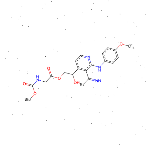 CCC(=N)c1c(C(O)COC(=O)CNC(=O)OC(C)(C)C)ccnc1Nc1ccc(OC(F)(F)F)cc1